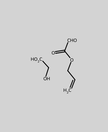 C=CCOC(=O)C=O.O=C(O)CO